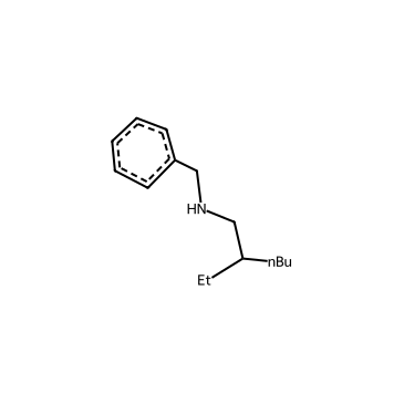 CCCCC(CC)CNCc1ccccc1